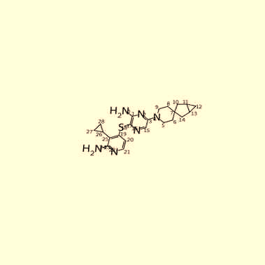 Nc1nc(N2CCC3(CC2)CC2CC2C3)cnc1Sc1ccnc(N)c1C1CC1